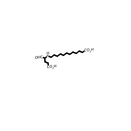 O=CC(CCC(=O)O)NCCCCCCCCCCCC(=O)O